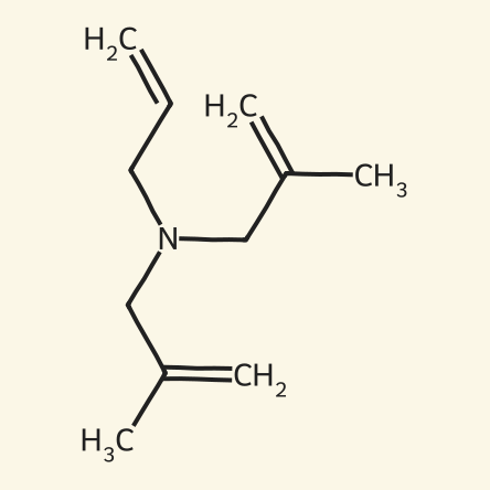 C=CCN(CC(=C)C)CC(=C)C